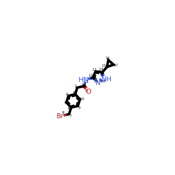 O=C(Cc1ccc(CBr)cc1)Nc1cc(C2CC2)[nH]n1